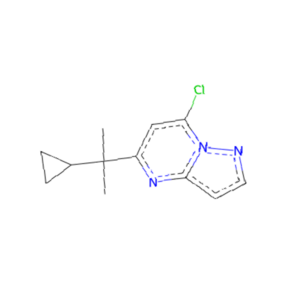 CC(C)(c1cc(Cl)n2nccc2n1)C1CC1